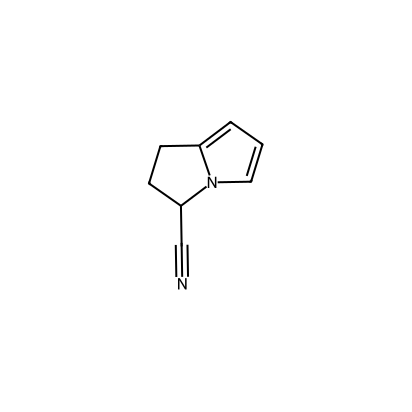 N#CC1CCc2cccn21